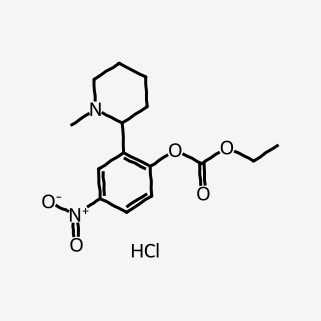 CCOC(=O)Oc1ccc([N+](=O)[O-])cc1C1CCCCN1C.Cl